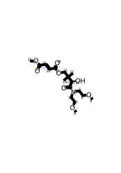 COCCN(CCOC)C(=O)[C@H](O)C(C)(C)COC(=O)/C=C/C(=O)OC